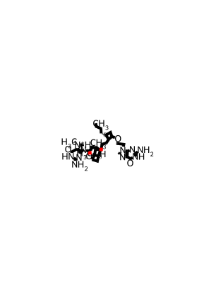 CCCC[C@@H]1CC(OCCn2cnc3c(=O)[nH]c(N)nc32)C1CCCCC1(C)C2C[C@H]1CC[C@@H](C)C(n1c[n+](C)c3c(=O)[nH]c(N)nc31)O2